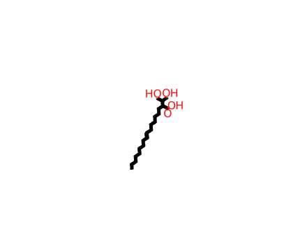 CCCCCCCCC=CCCCCCCC(C(=O)O)C(CO)CO